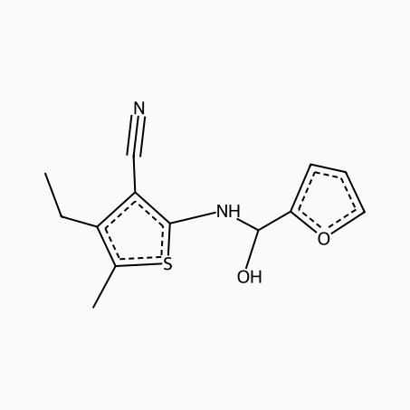 CCc1c(C)sc(NC(O)c2ccco2)c1C#N